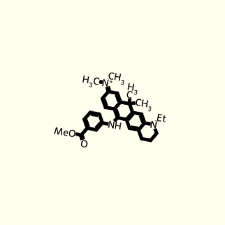 CCN1CCCc2cc3c(cc21)C(C)(C)C1=CC(=[N+](C)C)C=CC1=C3Nc1cccc(C(=O)OC)c1